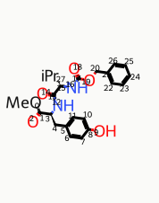 COC(=O)[C@H](Cc1ccc(O)cc1)NC(=O)[C@@H](NC(=O)OCc1ccccc1)C(C)C